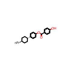 CCC[C@H]1CC[C@H](c2ccc(OC(=O)c3ccc(O)cc3)cc2)CC1